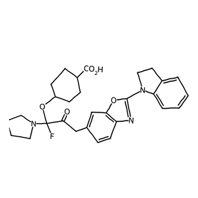 O=C(O)C1CCC(OC(F)(C(=O)Cc2ccc3nc(N4CCc5ccccc54)oc3c2)N2CCCC2)CC1